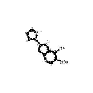 CC(C)(C)c1cnc2cc(-c3nccs3)sc2c1Cl